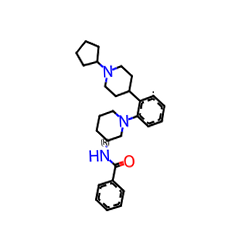 O=C(N[C@@H]1CCCN(c2ccc[c]c2C2CCN(C3CCCC3)CC2)C1)c1ccccc1